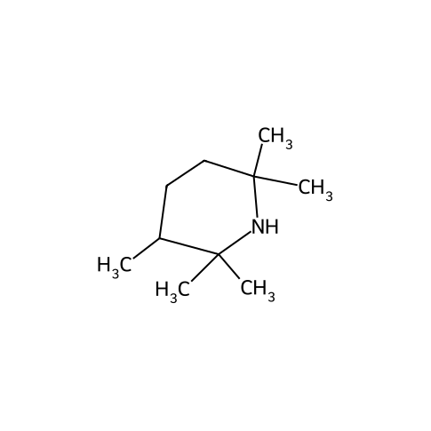 CC1CCC(C)(C)NC1(C)C